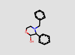 O[C@H]1OCCN(Cc2ccccc2)C1c1ccccc1